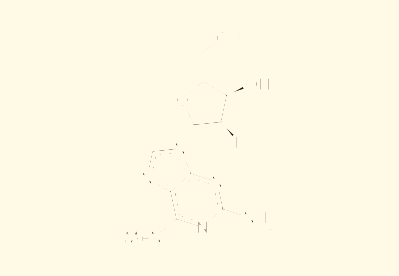 CNc1nc(N)nc2c1ncn2[C@@H]1O[C@H](CO)[C@@H](O)[C@H]1F